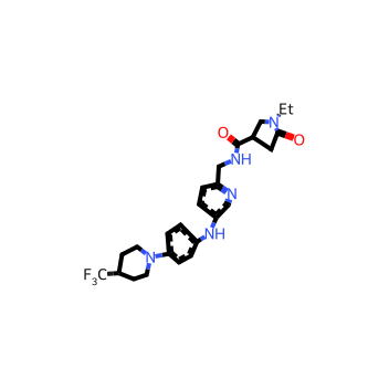 CCN1CC(C(=O)NCc2ccc(Nc3ccc(N4CCC(C(F)(F)F)CC4)cc3)cn2)CC1=O